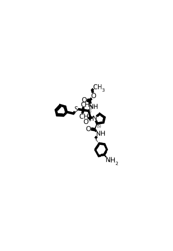 CCOC(=O)N[C@@H](C(=O)N1CCC[C@H]1C(=O)NC[C@H]1CC[C@H](N)CC1)C(C)(C)SCc1ccccc1